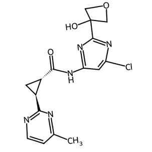 Cc1ccnc([C@H]2C[C@@H]2C(=O)Nc2cc(Cl)nc(C3(O)COC3)n2)n1